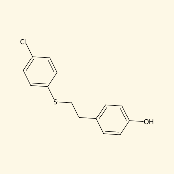 Oc1ccc(CCSc2ccc(Cl)cc2)cc1